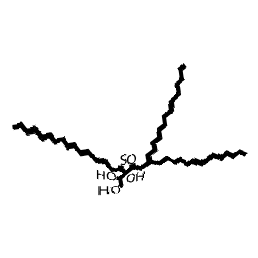 CCCCCCCCCCCCCCCC(=S)C(O)(C(=O)CC(CCCCCCCCCCCCC)CCCCCCCCCCCCCC)C(O)CO